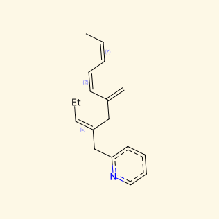 C=C(/C=C\C=C/C)C/C(=C\CC)Cc1ccccn1